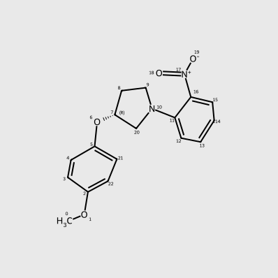 COc1ccc(O[C@@H]2CCN(c3cc[c]cc3[N+](=O)[O-])C2)cc1